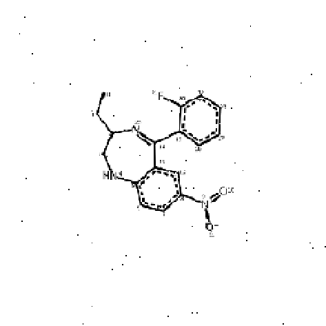 CCC1CNc2ccc([N+](=O)[O-])cc2C(c2ccccc2F)=N1